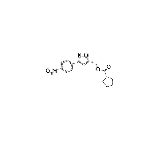 O=C(OCc1cc(-c2ccc([N+](=O)[O-])cc2)no1)C1CCCC1